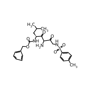 Cc1ccc(S(=O)(=O)NCC(=O)C(N)C(=O)[C@H](CC(C)C)NC(=O)OCc2ccccc2)cc1